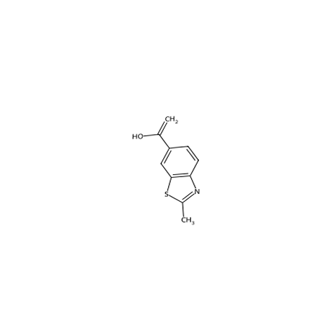 C=C(O)c1ccc2nc(C)sc2c1